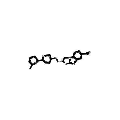 Cc1cccc(-c2ccc(OC[C@@H]3Cn4c(nc5cc(C#N)ccc54)O3)cn2)c1